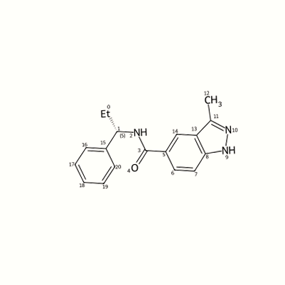 CC[C@H](NC(=O)c1ccc2[nH]nc(C)c2c1)c1ccccc1